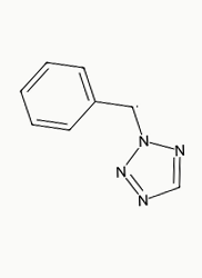 [CH](c1ccccc1)n1ncnn1